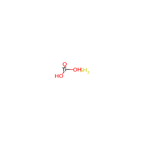 S.[O]=[Ti]([OH])[OH]